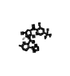 Cc1ccc(-n2nccn2)c(C(=O)N2[C@H](C)[C@@H]3C[C@@H](Nc4ncc(C(F)(F)F)cc4F)[C@@H]2C3)n1